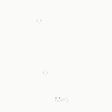 CSCC(=O)CC1CCOC1